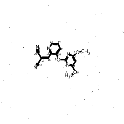 COc1cc(OC)nc(Oc2cccnc2C=C(C#N)C#N)n1